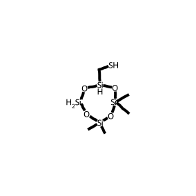 C[Si]1(C)O[SiH2]O[SiH](CS)O[Si](C)(C)O1